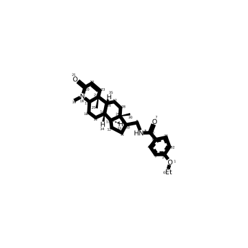 CCOc1ccc(C(=O)NCC2CC[C@H]3[C@@H]4CCC5N(C)C(=O)C=C[C@]5(C)[C@@H]4CC[C@]23C)cc1